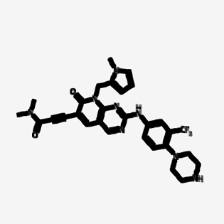 CN(C)C(=O)C#Cc1cc2cnc(Nc3ccc(N4CCNCC4)c(C(F)(F)F)c3)nc2n(Cc2cccn2C)c1=O